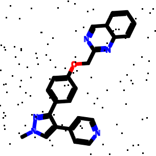 Cn1cc(-c2ccncc2)c(-c2ccc(OCC3=NC4C=CC=CC4C=N3)cc2)n1